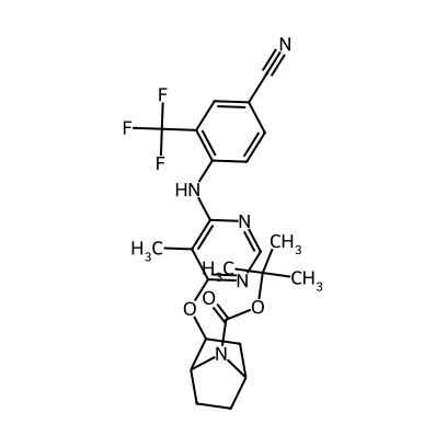 Cc1c(Nc2ccc(C#N)cc2C(F)(F)F)ncnc1OC1CC2CCC1N2C(=O)OC(C)(C)C